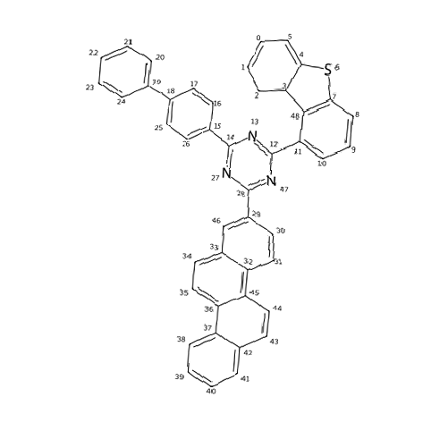 C1=CCC2C(=C1)Sc1cccc(-c3nc(-c4ccc(-c5ccccc5)cc4)nc(-c4ccc5c(ccc6c7ccccc7ccc56)c4)n3)c12